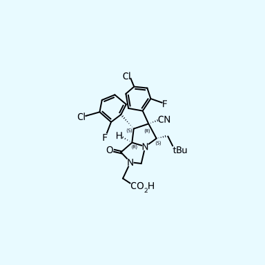 CC(C)(C)C[C@@H]1N2CN(CC(=O)O)C(=O)[C@H]2[C@H](c2cccc(Cl)c2F)[C@@]1(C#N)c1ccc(Cl)cc1F